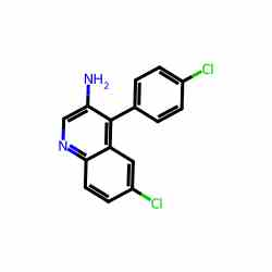 Nc1cnc2ccc(Cl)cc2c1-c1ccc(Cl)cc1